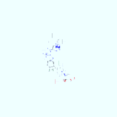 Cc1c(Nc2ncc3cc(Cl)c(C4CCN(C5COC[C@H]5O)CC4F)cc3n2)cnn1C